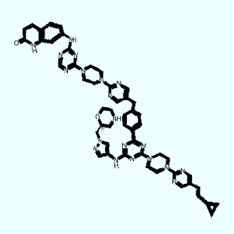 O=C1CCc2ccc(Nc3ncnc(N4CCN(c5ncc(Cc6ccc(-c7nc(Nc8cnn(C[C@@H]9CNCCO9)c8)nc(N8CCN(c9ncc(CCC%10CC%10)cn9)CC8)n7)cc6)cn5)CC4)n3)cc2N1